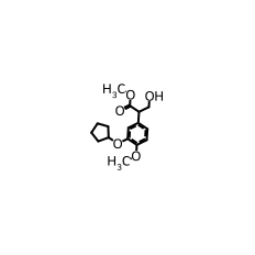 COC(=O)C(CO)c1ccc(OC)c(OC2CCCC2)c1